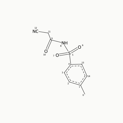 Cc1ccc(S(=O)(=O)NC(=O)CC#N)cc1